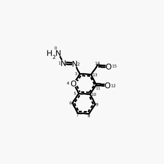 NN=Nc1oc2ccccc2c(=O)c1C=O